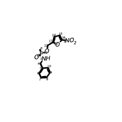 CP(=O)(NCc1ccccc1)OCc1ccc([N+](=O)[O-])o1